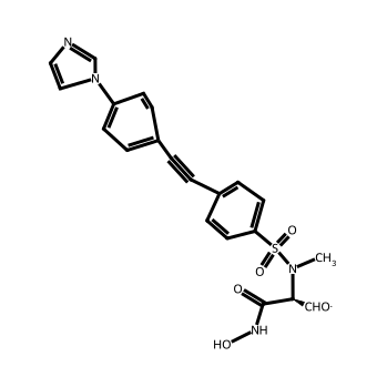 CN([C@@H]([C]=O)C(=O)NO)S(=O)(=O)c1ccc(C#Cc2ccc(-n3ccnc3)cc2)cc1